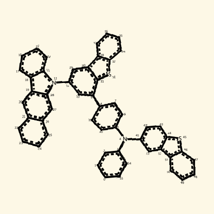 c1ccc(N(c2ccc(-c3cc(-n4c5ccccc5c5cc6ccccc6cc54)cc4c3sc3ccccc34)cc2)c2ccc3sc4ccccc4c3c2)cc1